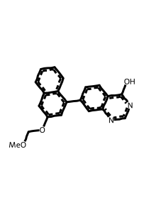 COCOc1cc(-c2ccc3c(O)ncnc3c2)c2ccccc2c1